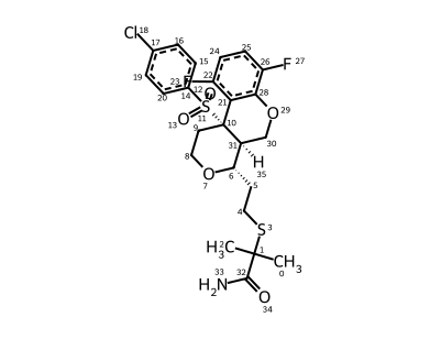 CC(C)(SCC[C@@H]1OCC[C@@]2(S(=O)(=O)c3ccc(Cl)cc3)c3c(F)ccc(F)c3OC[C@@H]12)C(N)=O